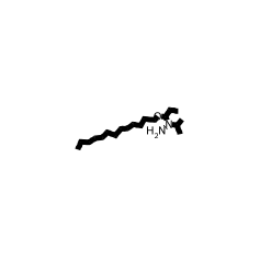 CCCCCCCCCCCCCOC(CC)N(N)C(C)C